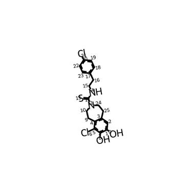 Oc1cc2c(c(Cl)c1O)CCN(C(=S)NCCc1ccc(Cl)cc1)CC2